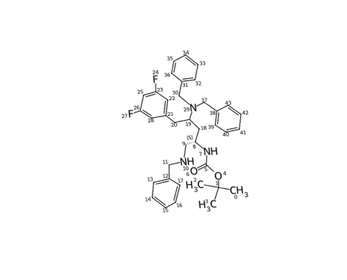 CC(C)(C)OC(=O)N[C@H](CNCc1ccccc1)CC(Cc1cc(F)cc(F)c1)N(Cc1ccccc1)Cc1ccccc1